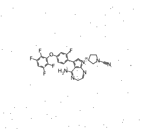 N#CN1CC[C@@H](n2cc(-c3ccc(Oc4c(F)c(F)cc(F)c4F)cc3F)c3c2N=CCN=C3N)C1